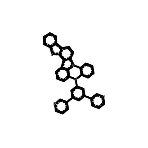 c1cncc(-c2cc(-c3cccnc3)cc(N3c4ccccc4-n4c5ccc6c7ccccc7sc6c5c5cccc3c54)c2)c1